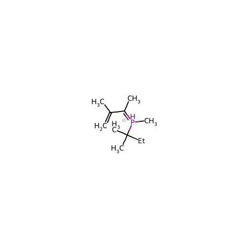 C=C(C)/C(C)=[PH](/C)C(C)(C)CC